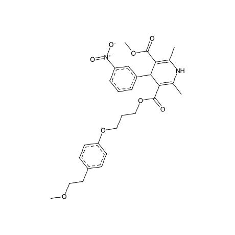 COCCc1ccc(OCCCOC(=O)C2=C(C)NC(C)=C(C(=O)OC)C2c2cccc([N+](=O)[O-])c2)cc1